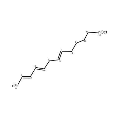 CCCC=CC=CCC=CCCCCCCCCCCCC